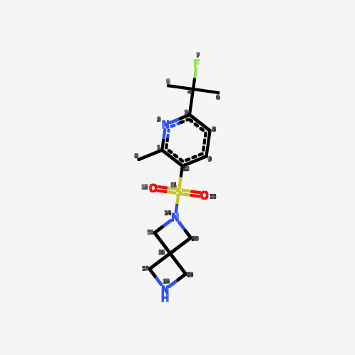 Cc1nc(C(C)(C)F)ccc1S(=O)(=O)N1CC2(CNC2)C1